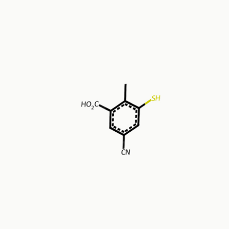 Cc1c(S)cc(C#N)cc1C(=O)O